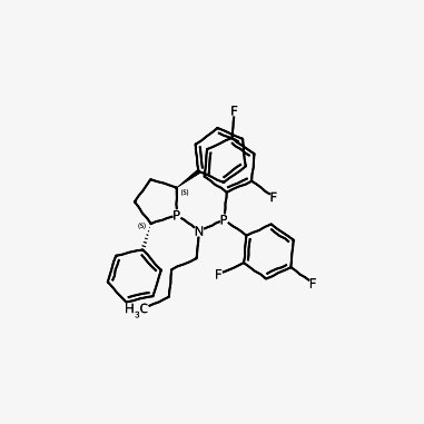 CCCCN(P(c1ccc(F)cc1F)c1ccc(F)cc1F)P1[C@H](c2ccccc2)CC[C@H]1c1ccccc1